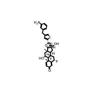 C[C@]12C=CC(=O)C=C1[C@@H](F)C[C@H]1[C@@H]3C[C@H]4O[C@@H](c5cc(Cc6cccc(N)c6)cs5)O[C@@]4(C(=O)CO)[C@@]3(C)C[C@H](O)[C@@]12F